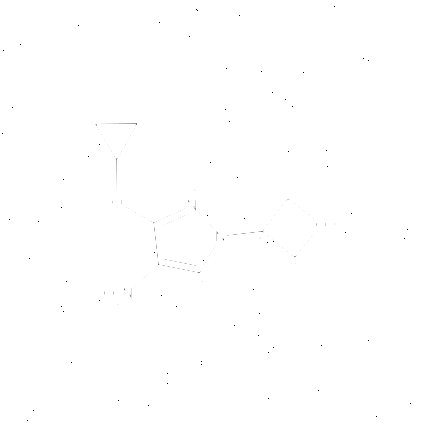 O=[N+]([O-])c1cn(C2COC2)nc1OC1CC1